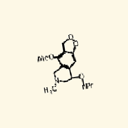 CCCOC1CN(C)Cc2c1cc1c(c2OC)COO1